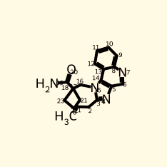 CCCc1nc2cnc3ccccc3c2n1CC1(C(N)=O)CCC1